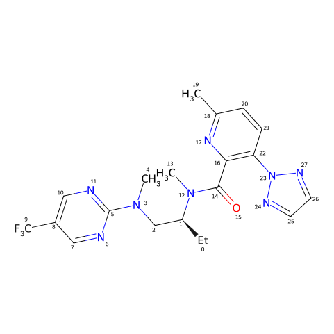 CC[C@@H](CN(C)c1ncc(C(F)(F)F)cn1)N(C)C(=O)c1nc(C)ccc1-n1nccn1